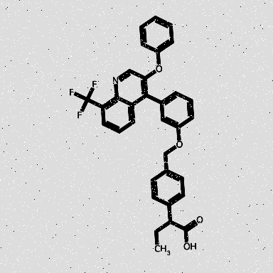 CCC(C(=O)O)c1ccc(COc2cccc(-c3c(Oc4ccccc4)cnc4c(C(F)(F)F)cccc34)c2)cc1